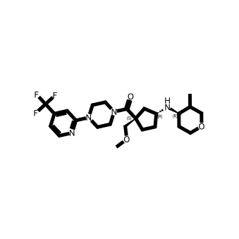 COC[C@]1(C(=O)N2CCN(c3cc(C(F)(F)F)ccn3)CC2)CC[C@@H](N[C@@H]2CCOCC2C)C1